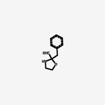 O=CC1(Cc2ccccc2)NCCO1